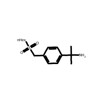 CCCCCCS(=O)(=O)Cc1ccc(C(C)(C)N)cc1